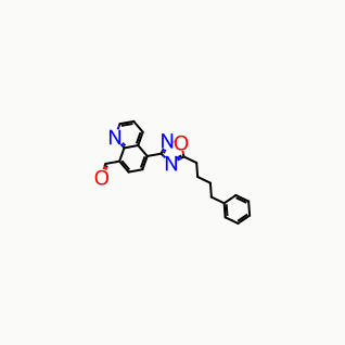 O=Cc1ccc(-c2noc(CCCCc3ccccc3)n2)c2cccnc12